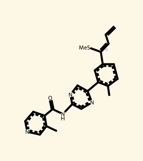 C=C/C=C(\SC)c1ccc(C)c(-c2cnc(NC(=O)c3ccncc3C)cn2)c1